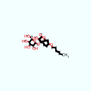 CCC=CCCOc1ccc2c(O[C@@H]3O[C@H](CO)[C@H](O)[C@H](O)[C@H]3O)c(O)c(=O)oc2c1